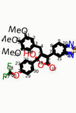 COc1cc(CC2=C(c3ccc4nsnc4c3)C(=O)OC2(O)c2ccc(OC(F)F)cc2)cc(OC)c1OC